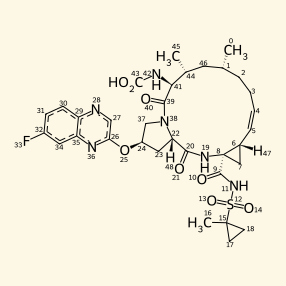 C[C@@H]1CC/C=C\[C@@H]2C[C@@]2(C(=O)NS(=O)(=O)C2(C)CC2)NC(=O)[C@@H]2C[C@@H](Oc3cnc4ccc(F)cc4n3)CN2C(=O)[C@@H](NC(=O)O)[C@H](C)C1